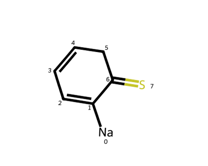 [Na][C]1=CC=CCC1=S